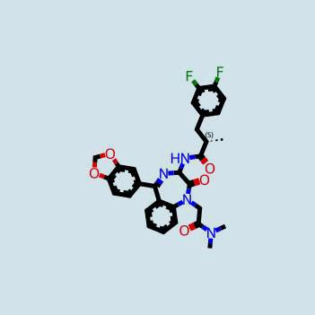 C[C@@H](Cc1ccc(F)c(F)c1)C(=O)NC1N=C(c2ccc3c(c2)OCO3)c2ccccc2N(CC(=O)N(C)C)C1=O